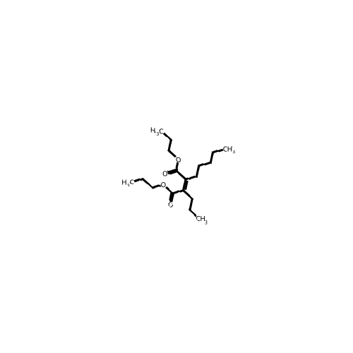 CCCCC/C(C(=O)OCCC)=C(\CCC)C(=O)OCCC